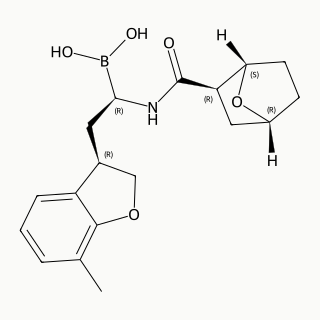 Cc1cccc2c1OC[C@@H]2C[C@H](NC(=O)[C@@H]1C[C@H]2CC[C@@H]1O2)B(O)O